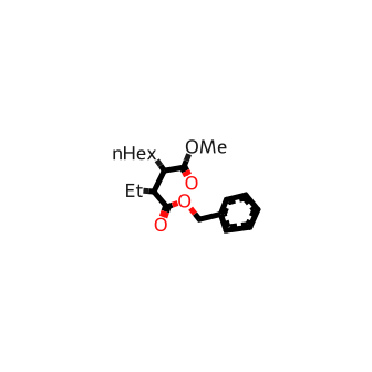 CCCCCCC(C(=O)OC)C(CC)C(=O)OCc1ccccc1